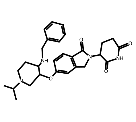 CC(C)N1CCC(NCc2ccccc2)C(Oc2ccc3c(c2)CN(C2CCC(=O)NC2=O)C3=O)C1